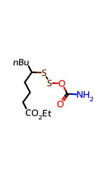 CCCCC(CCCC(=O)OCC)SSOC(N)=O